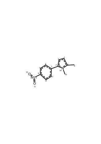 Cc1ccc(-c2ccc([SH](=O)=O)cc2)n1C